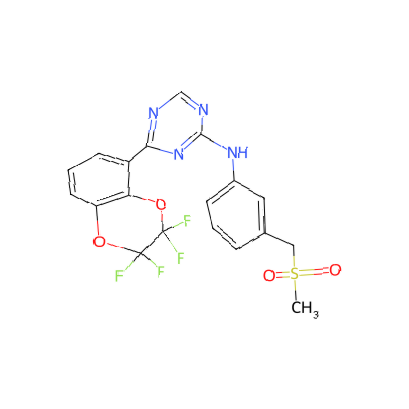 CS(=O)(=O)Cc1cccc(Nc2ncnc(-c3cccc4c3OC(F)(F)C(F)(F)O4)n2)c1